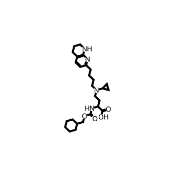 O=C(NC(CCN(CCCCc1ccc2c(n1)NCCC2)C1CC1)C(=O)O)OCC1CCCCC1